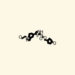 COCCn1ncc2cc(-c3cnc(NC(=O)OCc4ccc(OC)cc4)s3)ccc21